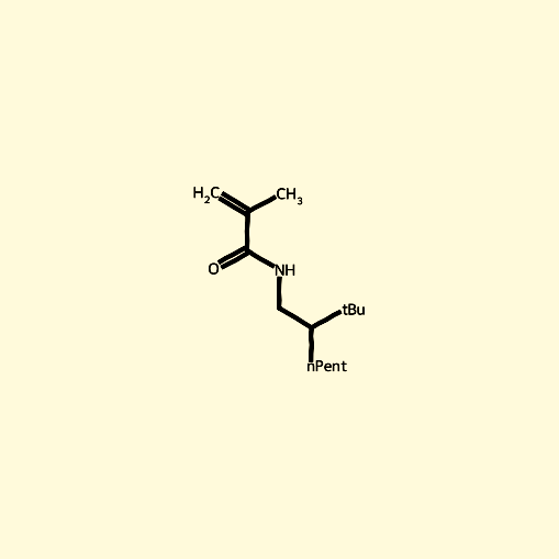 C=C(C)C(=O)NCC(CCCCC)C(C)(C)C